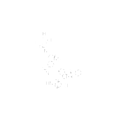 CC(C)(C)OC(=O)N1CC=C(c2cc(C(=O)N3CCC(Nc4ncc(Cl)c(-c5cn(S(=O)(=O)c6ccccc6)c6ccccc56)n4)CC3)ccc2[N+](=O)[O-])CC1